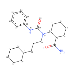 NC(=O)C1CCCCC1N(CCCC1CCCCC1)C(=O)Nc1ccccc1